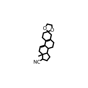 CC12CC=C3C4=C(CCC3C1CCC2C#N)CC1(CC4)OCCO1